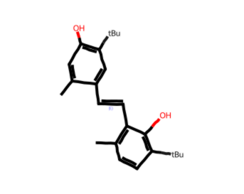 Cc1cc(O)c(C(C)(C)C)cc1/C=C/c1c(C)ccc(C(C)(C)C)c1O